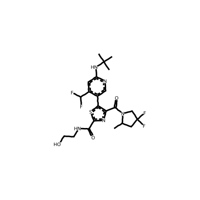 CC1CC(F)(F)CN1C(=O)c1nc(C(=O)NCCO)sc1-c1cnc(NC(C)(C)C)cc1C(F)F